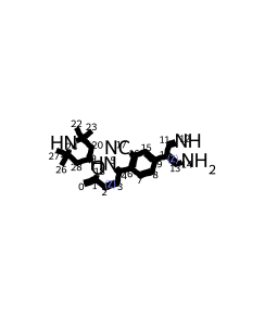 C=C(/C=C\C(=N)c1ccc(/C(C=N)=C/N)cc1C#N)OC1CC(C)(C)NC(C)(C)C1